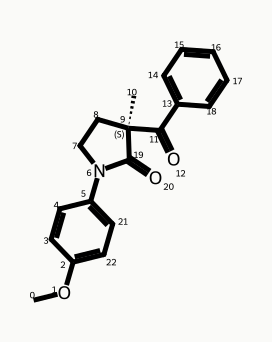 COc1ccc(N2CC[C@@](C)(C(=O)c3ccccc3)C2=O)cc1